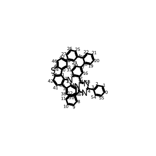 c1ccc(-c2nc(-c3ccccc3)nc(-c3cc(-c4ccccc4-c4ccccc4)ccc3-n3c4ccccc4c4ccc5sc6ccccc6c5c43)n2)cc1